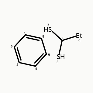 CCC(S)S.c1ccccc1